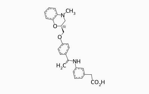 C=C(Nc1cccc(CC(=O)O)c1)c1ccc(OC[C@@H]2CN(C)c3ccccc3O2)cc1